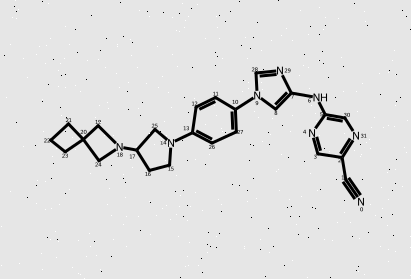 N#Cc1cnc(Nc2cn(-c3ccc(N4CCC(N5CC6(CCC6)C5)C4)cc3)cn2)cn1